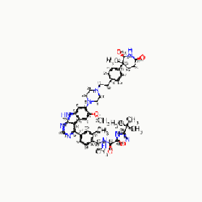 COc1cc2c(cc1N1CCN(CCc3ccc(C4(C)CCC(=O)NC4=O)cc3)CC1)[nH]c1ncnc(-c3ccc([C@@H](C)NC(=O)c4nc(C(C)(C)C)no4)c(C)c3)c12